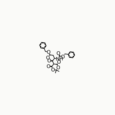 CC1(C)OC(=O)C(C(=O)C(CC(=O)OCc2ccccc2)NC(=O)OCc2ccccc2)C(=O)O1